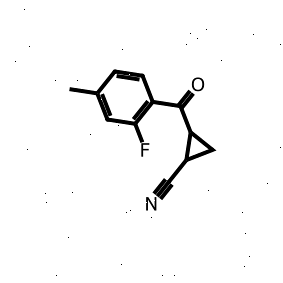 Cc1ccc(C(=O)C2CC2C#N)c(F)c1